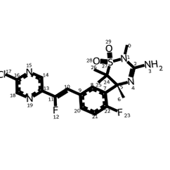 CN1C(N)=N[C@](C)(c2cc(/C=C(\F)c3cnc(Cl)cn3)ccc2F)C(C)(C)S1(=O)=O